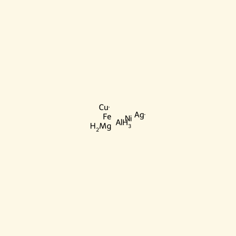 [Ag].[AlH3].[Cu].[Fe].[MgH2].[Ni]